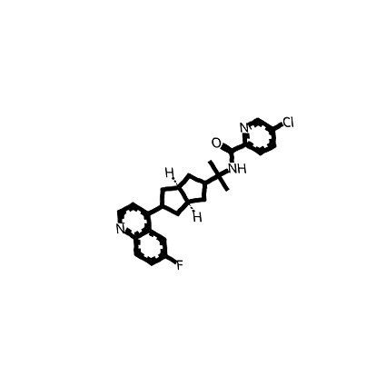 CC(C)(NC(=O)c1ccc(Cl)cn1)C1C[C@H]2CC(c3ccnc4ccc(F)cc34)C[C@H]2C1